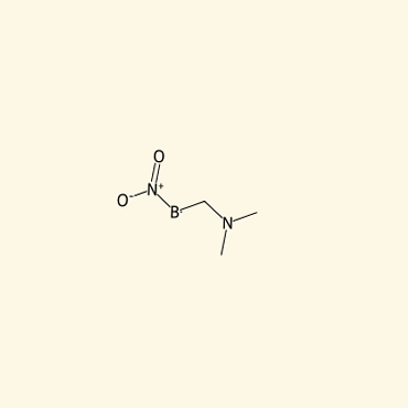 CN(C)C[B][N+](=O)[O-]